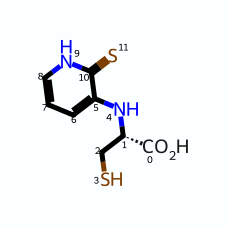 O=C(O)[C@H](CS)Nc1ccc[nH]c1=S